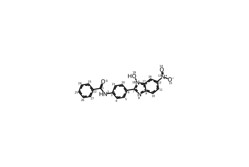 O=C(Nc1ccc(-c2nc3ccc([N+](=O)[O-])cc3n2O)cc1)c1ccccc1